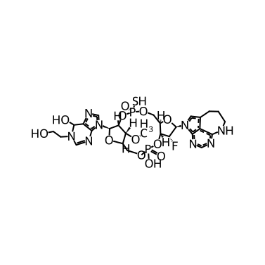 CO[C@H]1[C@H]2OP(=O)(S)OC[C@H]3O[C@@H](n4cc5c6c(ncnc64)NCCC5)[C@H](F)[C@@H]3OP(=O)(O)OC[C@H]1O[C@H]2n1cnc2c1N=CN(CCO)C2O